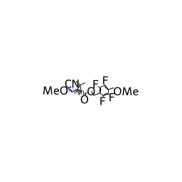 COCc1c(F)c(F)c(COC(=O)[C@@H]2[C@@H](/C=C(\C#N)OC)C2(C)C)c(F)c1F